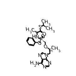 CC(C)SC(=O)[C@H](C)N[P@@](=O)(CO[C@H](C)Cn1cnc2c(N)ncnc21)Oc1ccccc1